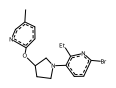 CCc1nc(Br)ccc1N1CCC(Oc2ccc(C)cn2)C1